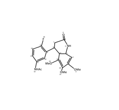 COC1=CC2NC(=O)CC(c3cc(NC(C)=O)ccc3F)C2C(OC)=C1OC